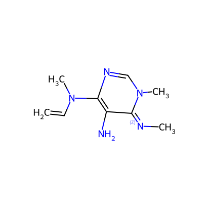 C=CN(C)c1ncn(C)/c(=N\C)c1N